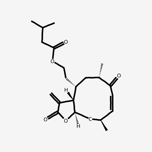 C=C1C(=O)O[C@@H]2C[C@H](C)/C=C\C(=O)[C@@H](C)C[C@@H](CCOC(=O)CC(C)C)[C@@H]12